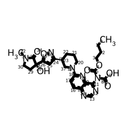 CCCCOC(=O)N(C(=O)O)c1ncnc2ccc(N3CCC[C@H](c4cc([C@]5(O)CCN(C)C5=O)on4)C3)nc12